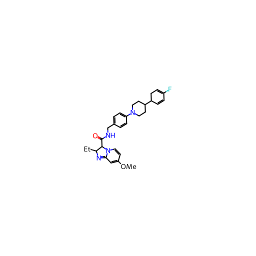 CCC1N=C2C=C(OC)C=CN2C1C(=O)NCc1ccc(N2CCC(C3C=CC(F)=CC3)CC2)cc1